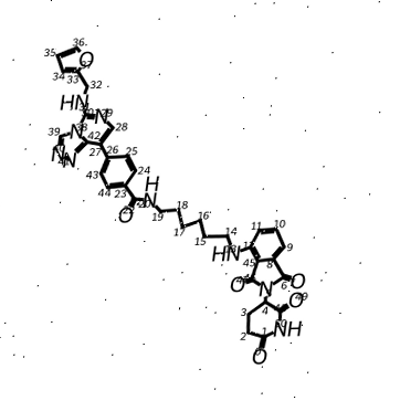 O=C1CCC(N2C(=O)c3cccc(NCCCCCCNC(=O)c4ccc(-c5cnc(NCc6ccco6)n6cnnc56)cc4)c3C2=O)C(=O)N1